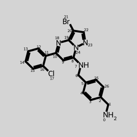 NCc1ccc(CNc2cc(-c3ccccc3Cl)nc3c(Br)cnn23)cc1